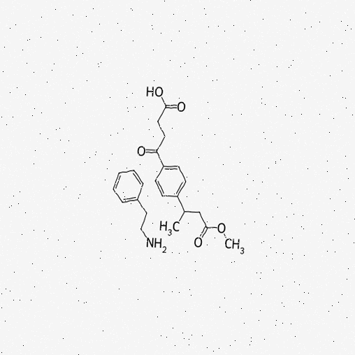 COC(=O)CC(C)c1ccc(C(=O)CCC(=O)O)cc1.NCCc1ccccc1